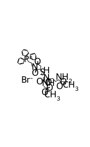 COC(=O)CNC(=O)[C@H](CSC1CC(=O)N(CCC[P+](c2ccccc2)(c2ccccc2)c2ccccc2)C1=O)NC(=O)CC[C@H](N)C(=O)OC.[Br-]